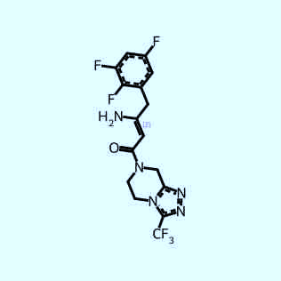 N/C(=C\C(=O)N1CCn2c(nnc2C(F)(F)F)C1)Cc1cc(F)cc(F)c1F